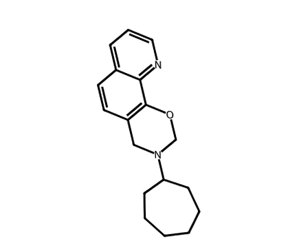 c1cnc2c3c(ccc2c1)CN(C1CCCCCC1)CO3